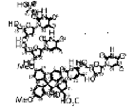 COc1ccc(C(c2ccccc2)(c2ccc(OC)cc2)C(O)[C@H]2O[C@@H](n3cc(C)c(=O)[nH]c3=O)C[C@@]2(O)CC(=O)O)cc1.CP(=O)(O)O.Cc1cn([C@H]2C[C@H](O)[C@@H](CO)O2)c(=O)[nH]c1=O.Cc1cn([C@H]2C[C@H](O)[C@@H](CO)O2)c(=O)[nH]c1=O.Cc1cn([C@H]2C[C@H](O)[C@@H](CO)O2)c(=O)[nH]c1=O